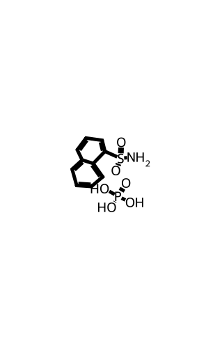 NS(=O)(=O)c1cccc2ccccc12.O=P(O)(O)O